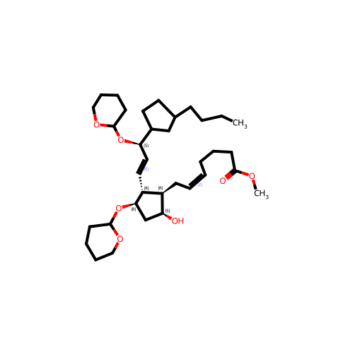 CCCCC1CCC([C@@H](/C=C/[C@@H]2[C@@H](C/C=C\CCCC(=O)OC)[C@@H](O)C[C@H]2OC2CCCCO2)OC2CCCCO2)C1